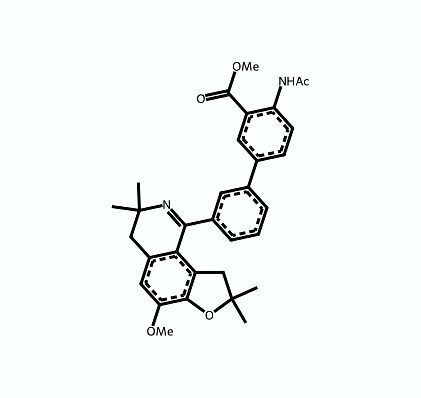 COC(=O)c1cc(-c2cccc(C3=NC(C)(C)Cc4cc(OC)c5c(c43)CC(C)(C)O5)c2)ccc1NC(C)=O